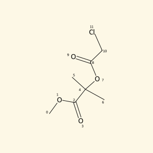 COC(=O)C(C)(C)OC(=O)CCl